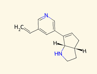 C=Cc1cncc(C2=CC[C@@H]3CCN[C@H]23)c1